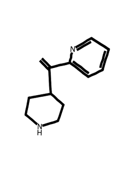 C=C(c1ccccn1)C1CCNCC1